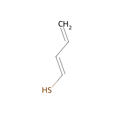 C=CC=CS